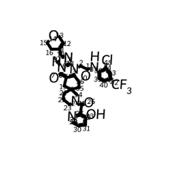 O=C(Cn1c2c(c(=O)n3nc(C4=CCOCC4)nc13)CC1(CCCN(C(=O)c3ncccc3O)C1)CC2)Nc1ccc(C(F)(F)F)cc1Cl